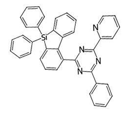 c1ccc(-c2nc(-c3ccccn3)nc(-c3cccc4c3-c3ccccc3[Si]4(c3ccccc3)c3ccccc3)n2)cc1